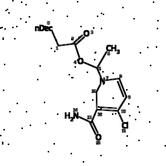 CCCCCCCCCCCC(=O)OC(C)N1C=CC(Cl)=C(C(N)=O)C1